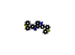 CN1C2=C(CCC(c3cccc4sc5ccccc5c34)=C2)c2cc3c(c4cccc1c24)c1ccc(-c2cccc4c2C2C=CC=CC2S4)cc1n3C